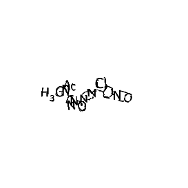 CC(=O)N(C)c1cnn(C(=O)N2CCN(Cc3ccc(N4CCOCC4)cc3Cl)CC2)c1